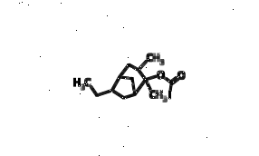 CCC1CC2CC1CC(C)C2(C)OC(=O)I